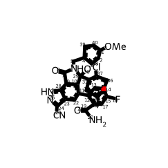 COc1ccc(CN2C(=O)c3c(c(-c4ccc(F)cc4C(N)=O)cc4c(C#N)n[nH]c34)C2(O)c2cc(F)ccc2Cl)cc1